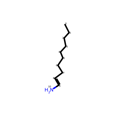 C[CH]CCCCCCC=CN